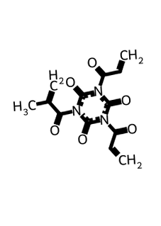 C=CC(=O)n1c(=O)n(C(=O)C=C)c(=O)n(C(=O)C(=C)C)c1=O